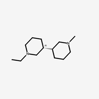 CCN1CCC[C@H](C2CCCN(C)C2)C1